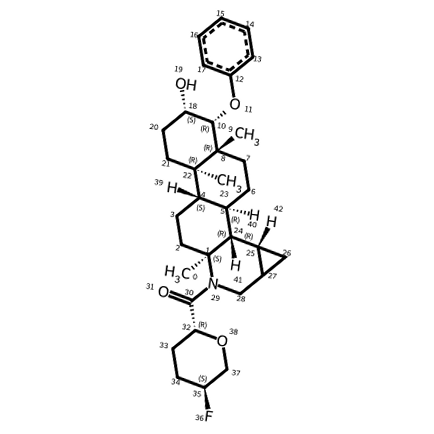 C[C@]12CC[C@H]3[C@@H](CC[C@@]4(C)[C@@H](Oc5ccccc5)[C@@H](O)CC[C@]34C)[C@@H]1[C@@H]1CC1CN2C(=O)[C@H]1CC[C@H](F)CO1